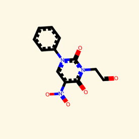 O=CCn1c(=O)c([N+](=O)[O-])cn(-c2ccccc2)c1=O